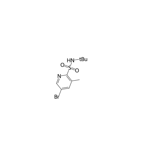 Cc1cc(Br)cnc1S(=O)(=O)NC(C)(C)C